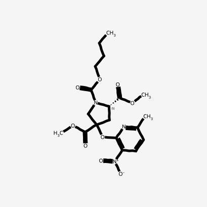 CCCCOC(=O)N1CC(Oc2nc(C)ccc2[N+](=O)[O-])(C(=O)OC)C[C@H]1C(=O)OC